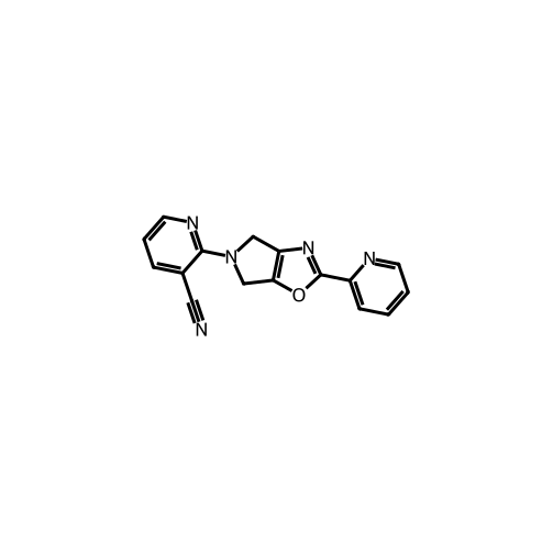 N#Cc1cccnc1N1Cc2nc(-c3ccccn3)oc2C1